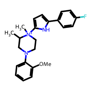 COc1ccccc1N1CC[N+](C)(c2ccc(-c3ccc(F)cc3)[nH]2)C(C)C1